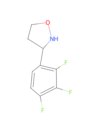 Fc1ccc(C2CCON2)c(F)c1F